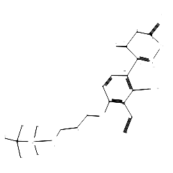 C=Cc1c(OCCCO[Si](C)(C)C(C)(C)C)ccc(C2=NNC(=O)CC2C)c1F